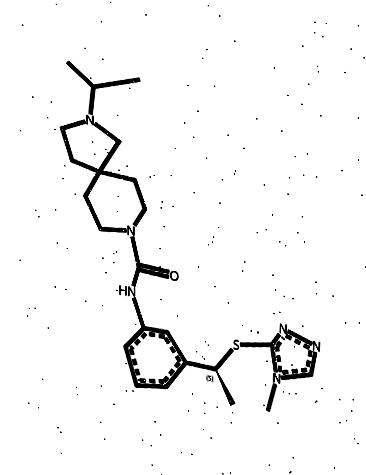 CC(C)N1CCC2(CCN(C(=O)Nc3cccc([C@H](C)Sc4nncn4C)c3)CC2)C1